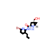 C=CCc1ccc(Br)nc1NC(=O)[C@@H]1C[C@@]2(CO)C[C@H]2N1